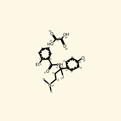 CCc1ccccc1C(=O)NC(I)(CCN(C)C)c1ccc(Cl)cc1.O=C(O)C(=O)O